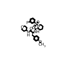 COc1ccc(C[C@H](NC(=O)[C@@H]2CCCCN2S(=O)(=O)c2cccc(F)c2)C(=O)NC2CCOCC2)cc1